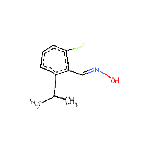 CC(C)c1cccc(F)c1C=NO